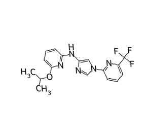 CC(C)Oc1cccc(Nc2cn(-c3cccc(C(F)(F)F)n3)cn2)n1